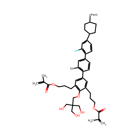 C=C(C)C(=O)OCCCc1cc(-c2ccc(-c3ccc(C4CCC(CCCCC)CC4)cc3F)cc2CC)cc(CCCOC(=O)C(=C)C)c1OCC(CO)(CO)CO